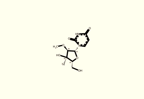 [2H][C@@]1(O)[C@@H](CO)O[C@@H](n2ccc(=O)[nH]c2=O)[C@@H]1OC